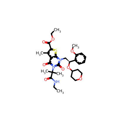 CCNC(=O)C(C)(C)n1c(=O)c2c(C)c(C(=O)OCC)sc2n(C[C@H](OC2CCOCC2)c2ccccc2OC)c1=O